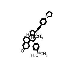 CN(C)c1ccc([C@H]2C[C@@]3(C)[C@@H](CC[C@@]3(O)C#Cc3ccc(N4CCCC4)cc3)[C@@H]3CCC4=CC(=O)CCC4=C32)cc1